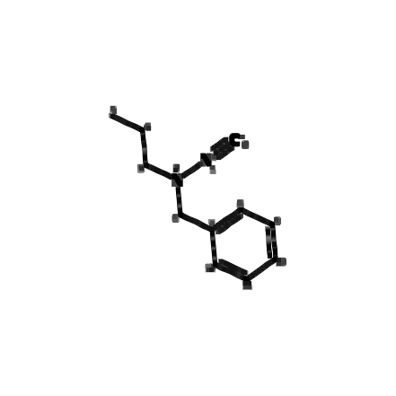 [C-]#[N+]N(CCC)Cc1ccccc1